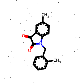 Cc1ccc2c(c1)C(=O)C(=O)N2Cc1ccccc1C